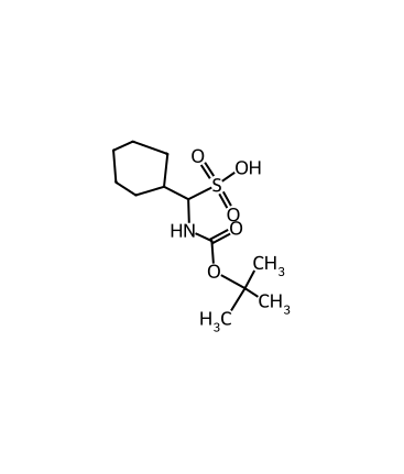 CC(C)(C)OC(=O)NC(C1CCCCC1)S(=O)(=O)O